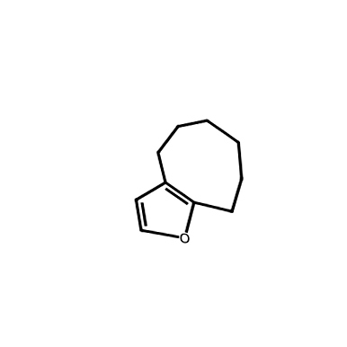 c1cc2c(o1)CCCCCC2